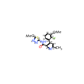 COc1nnc(NC(=O)c2cnc(C)cc2-c2cccc(OC)c2F)s1